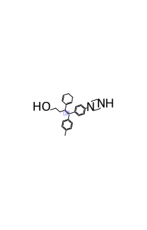 Cc1ccc(/C(=C(\CCCO)C2=CCCC=C2)c2ccc(N3CCNCC3)cc2)cc1